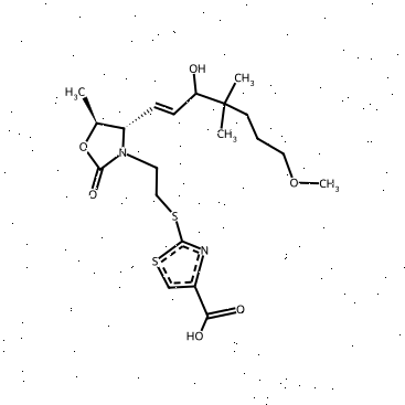 COCCCC(C)(C)C(O)C=C[C@H]1[C@H](C)OC(=O)N1CCSc1nc(C(=O)O)cs1